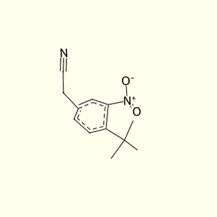 CC(C)(C)c1ccc(CC#N)cc1[N+](=O)[O-]